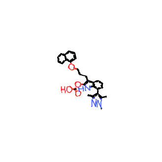 Cc1nn(C)c(C)c1-c1cccc2c(CCCOc3cccc4ccccc34)c(OC(=O)O)[nH]c12